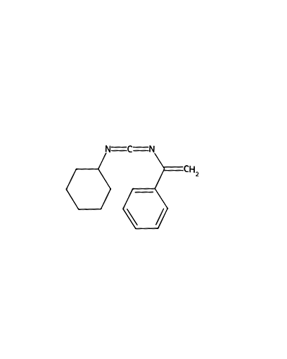 C=C(N=C=NC1CCCCC1)c1ccccc1